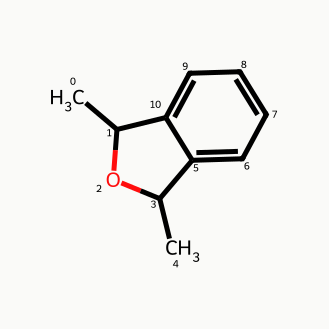 CC1OC(C)c2ccccc21